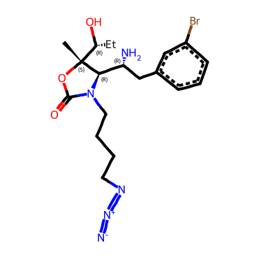 CC[C@@H](O)[C@@]1(C)OC(=O)N(CCCCN=[N+]=[N-])[C@@H]1[C@H](N)Cc1cccc(Br)c1